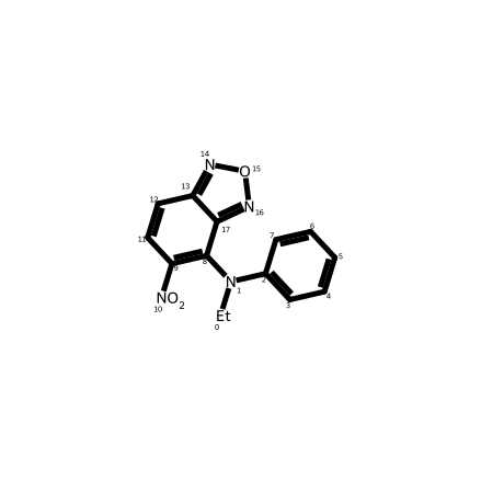 CCN(c1ccccc1)c1c([N+](=O)[O-])ccc2nonc12